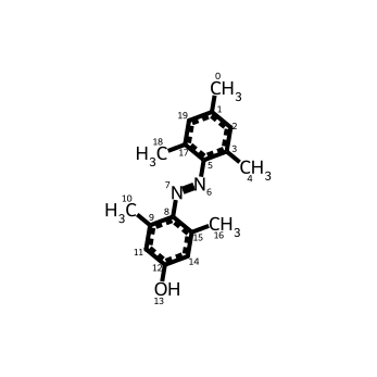 Cc1cc(C)c(N=Nc2c(C)cc(O)cc2C)c(C)c1